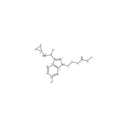 CONCCCn1nc(C(C)NC2CC2)c2ncc(C)cc21